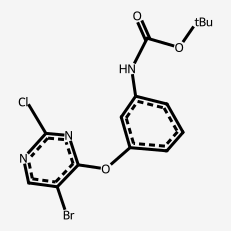 CC(C)(C)OC(=O)Nc1cccc(Oc2nc(Cl)ncc2Br)c1